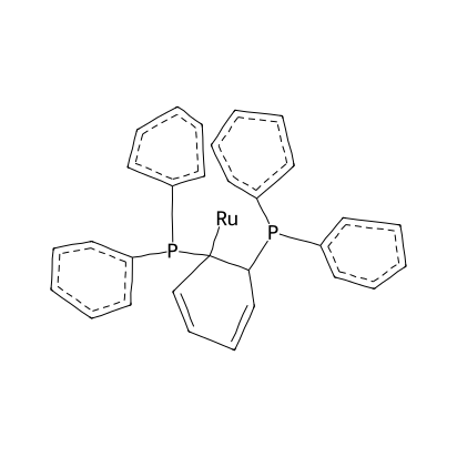 [Ru][C]1(P(c2ccccc2)c2ccccc2)C=CC=CC1P(c1ccccc1)c1ccccc1